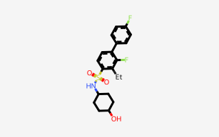 CCc1c(S(=O)(=O)NC2CCC(O)CC2)ccc(-c2ccc(F)cc2)c1F